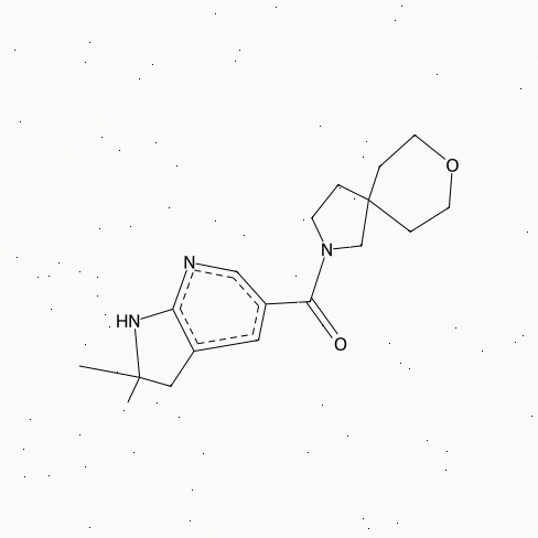 CC1(C)Cc2cc(C(=O)N3CCC4(CCOCC4)C3)cnc2N1